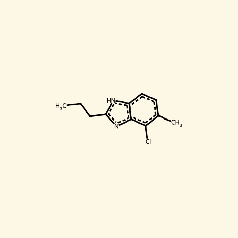 CCCc1nc2c(Cl)c(C)ccc2[nH]1